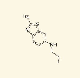 CCCNc1ccc2nc(S)sc2c1